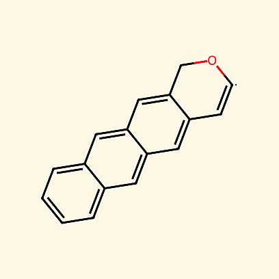 [C]1=Cc2cc3cc4ccccc4cc3cc2CO1